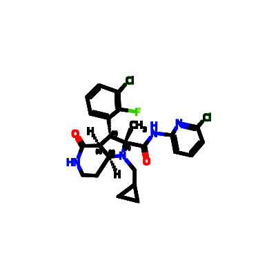 C[C@]1(C(=O)Nc2cccc(Cl)n2)[C@@H](c2cccc(Cl)c2F)[C@@H]2C(=O)NCC[C@@H]2N1CC1CC1